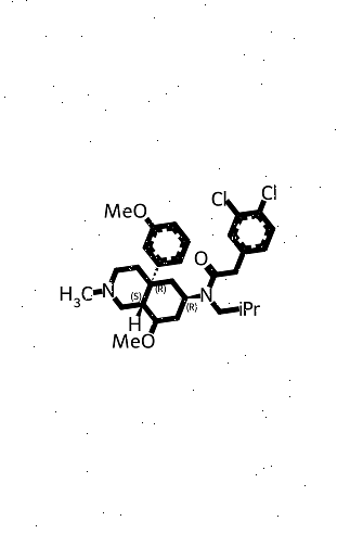 COc1cccc([C@@]23CCN(C)C[C@H]2C(OC)C[C@H](N(CC(C)C)C(=O)Cc2ccc(Cl)c(Cl)c2)C3)c1